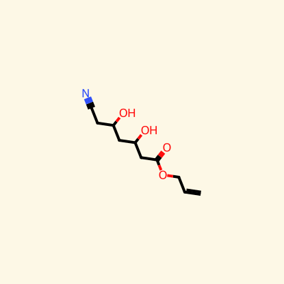 C=CCOC(=O)CC(O)CC(O)CC#N